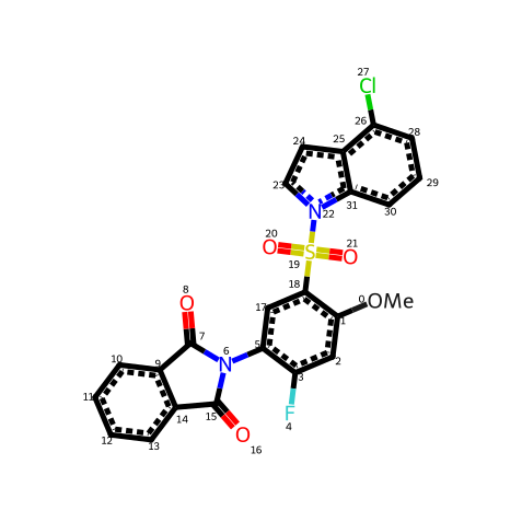 COc1cc(F)c(N2C(=O)c3ccccc3C2=O)cc1S(=O)(=O)n1ccc2c(Cl)cccc21